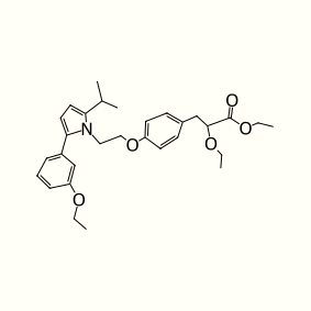 CCOC(=O)C(Cc1ccc(OCCn2c(-c3cccc(OCC)c3)ccc2C(C)C)cc1)OCC